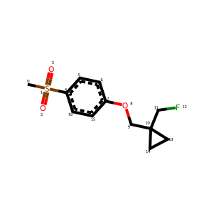 CS(=O)(=O)c1c[c]c(OCC2(CF)CC2)cc1